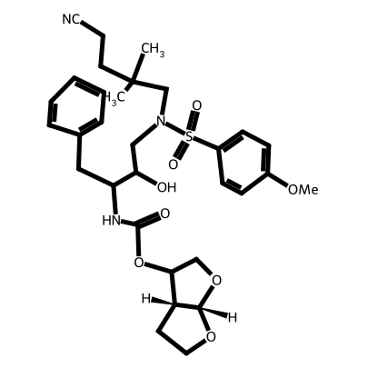 COc1ccc(S(=O)(=O)N(CC(O)C(Cc2ccccc2)NC(=O)OC2CO[C@@H]3OCC[C@H]23)CC(C)(C)CCC#N)cc1